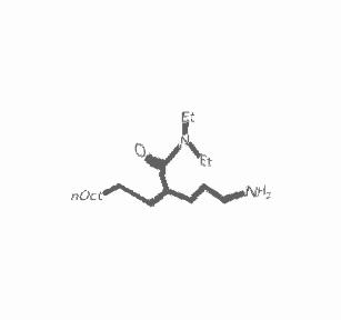 CCCCCCCCCCC(CCCN)C(=O)N(CC)CC